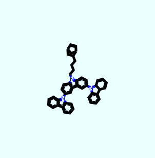 C1=CC2c3ccccc3N(c3ccc4c(c3)c3cc(-n5c6ccccc6c6ccccc65)ccc3n4CCCCC3CC4C=CC3C4)C2C=C1